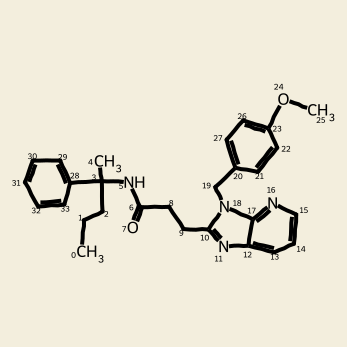 CCCC(C)(NC(=O)CCc1nc2cccnc2n1Cc1ccc(OC)cc1)c1ccccc1